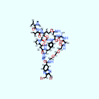 CC[C@H](C)C([C@@H](CC(=O)N1CCC[C@H]1[C@H](OC)[C@@H](C)C(=O)N[C@H](CN=[N+]=[N-])Cc1ccc(NC(=O)[C@H](CC(N)=O)NC(=O)[C@H](C)NC(=O)[C@H](C)NC(=O)CCOCCOCCNC(=O)C2C=Cc3nc(CBr)c(CBr)nc3C2)cc1)OC)N(C)C(=O)[C@@H](NC(=O)[C@H](C(C)C)N(C)C)C(C)C